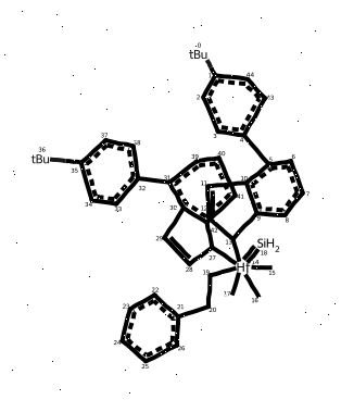 CC(C)(C)c1ccc(-c2cccc3c2C=C[CH]3[Hf]([CH3])([CH3])([CH3])(=[SiH2])([CH2]Cc2ccccc2)[CH]2C=Cc3c(-c4ccc(C(C)(C)C)cc4)cccc32)cc1